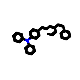 C\C=C/C(/C=C\c1ccccc1)=C\C=C\c1ccc(N(c2ccccc2)c2ccccc2)cc1